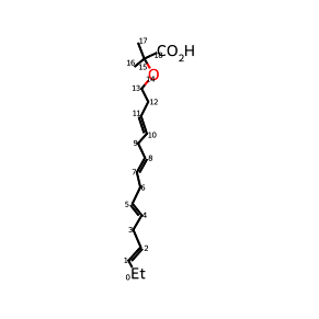 CCC=CCC=CCC=CCC=CCCOC(C)(C)C(=O)O